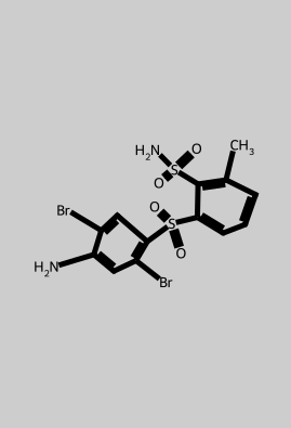 Cc1cccc(S(=O)(=O)c2cc(Br)c(N)cc2Br)c1S(N)(=O)=O